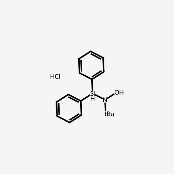 CC(C)(C)N(O)[SiH](c1ccccc1)c1ccccc1.Cl